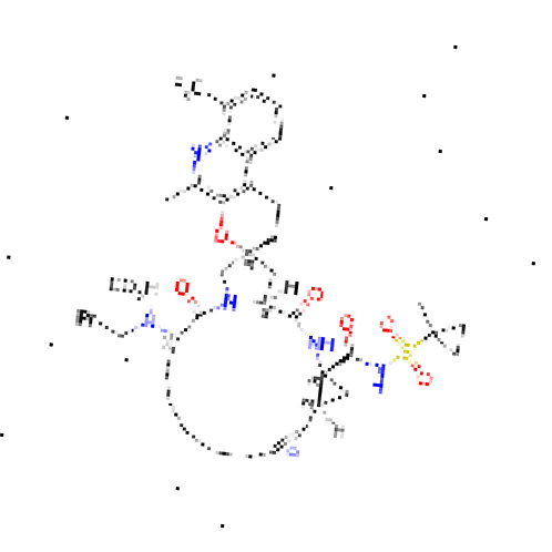 Cc1nc2c(C(F)(F)F)cccc2c2c1O[C@]1(CC2)C[C@H]2C(=O)N[C@]3(C(=O)NS(=O)(=O)C4(C)CC4)C[C@H]3/C=C\CCCCC[C@H](N(CC(C)C)C(=O)O)C(=O)N2C1